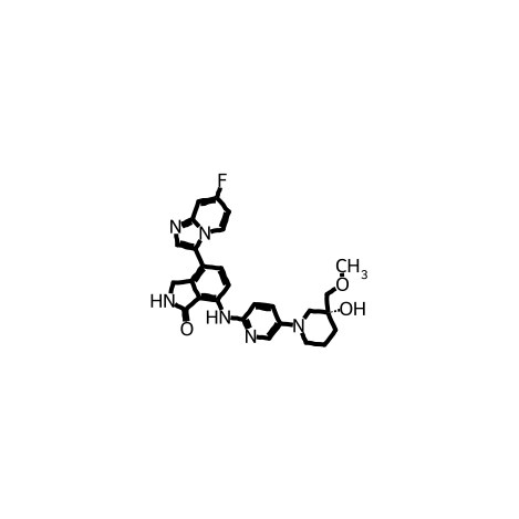 COC[C@@]1(O)CCCN(c2ccc(Nc3ccc(-c4cnc5cc(F)ccn45)c4c3C(=O)NC4)nc2)C1